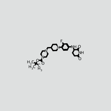 CC(C)(C)OC(=O)N1CCN(CC2CCN(c3ccc(NC4CCC(=O)NC4=O)cc3F)CC2)CC1